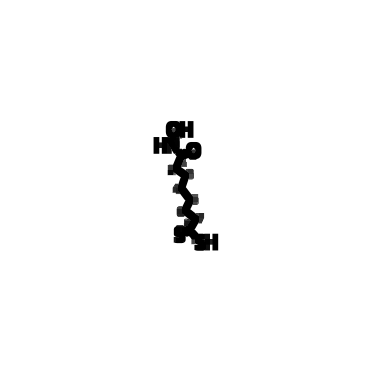 O=C(CCCCCCC(=S)S)NO